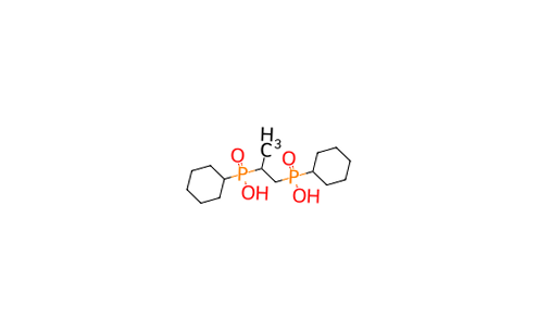 CC(CP(=O)(O)C1CCCCC1)P(=O)(O)C1CCCCC1